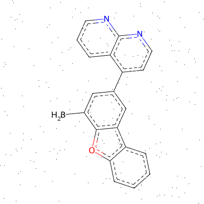 Bc1cc(-c2ccnc3ncccc23)cc2c1oc1ccccc12